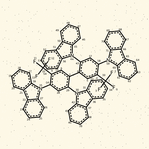 FC(F)(F)c1cc(-c2cc(C(F)(F)F)c(-n3c4ccccc4c4ccccc43)cc2-n2c3ccccc3c3ccccc32)c(-n2c3ccccc3c3ccccc32)cc1-n1c2ccccc2c2ccccc21